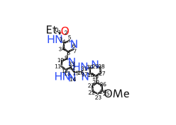 CCC(=O)Nc1cncc(-c2ccc3[nH]nc(-c4nc5c(-c6cccc(OC)c6)ccnc5[nH]4)c3n2)c1